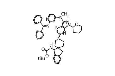 CN(c1ccnc(N=C(c2ccccc2)c2ccccc2)c1)c1nn(C2CCCCO2)c2nc(N3CCC4(CC3)Cc3ccccc3C4NC(=O)OC(C)(C)C)cnc12